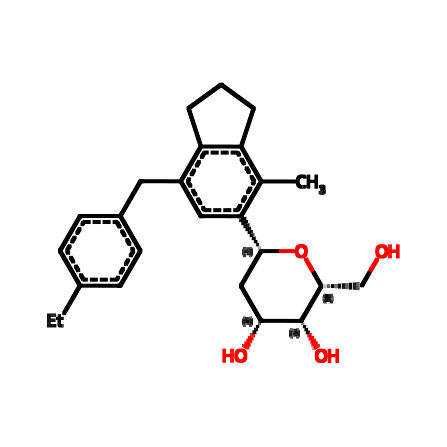 CCc1ccc(Cc2cc([C@H]3C[C@@H](O)[C@@H](O)[C@@H](CO)O3)c(C)c3c2CCC3)cc1